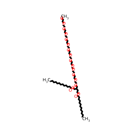 CCCCCCCCCCCCCC(=O)OCCC(COCCOCCOCCOCOCCOCCOCCOCCOCCOCCOCCOCCOCCOC)COC(=O)CCCCCCCCCCCCC